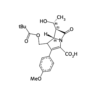 COc1ccc(C2=C(C(=O)O)N3C(=O)[C@H]([C@@H](C)O)[C@H]3C2COC(=O)C(C)(C)C)cc1